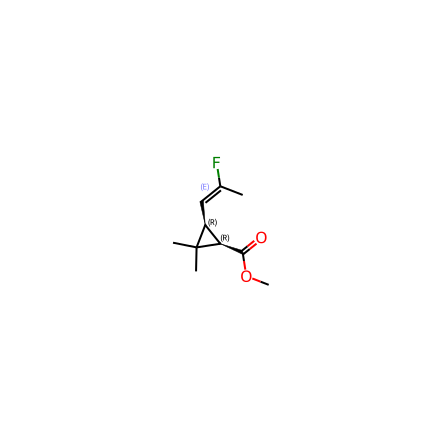 COC(=O)[C@@H]1[C@H](/C=C(\C)F)C1(C)C